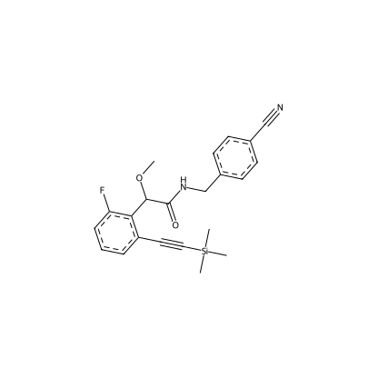 COC(C(=O)NCc1ccc(C#N)cc1)c1c(F)cccc1C#C[Si](C)(C)C